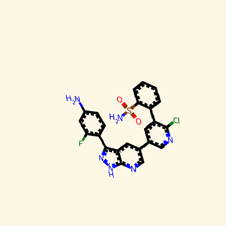 Nc1ccc(-c2n[nH]c3ncc(-c4cnc(Cl)c(-c5ccccc5S(N)(=O)=O)c4)cc23)c(F)c1